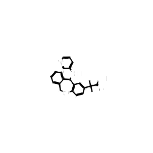 CC(C)(C(=O)O)c1ccc2c(c1)C(Nc1cccnc1)c1ccccc1CO2